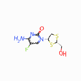 Nc1nc(=O)n([C@@H]2CS[C@H](CO)S2)cc1F